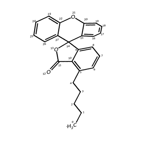 [CH2]CCCCc1cccc2c1C(=O)OC21c2ccccc2Oc2ccccc21